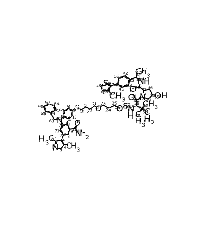 CC1=NCC(C)=C1c1cc(C(N)=O)c2c3cc(OCCCCOCCCOSN[C@H](C(=O)N4C[C@H](O)CC4C(=O)NC(C)c4ccc(-c5sccc5C)cc4)C(C)(C)C)ccc3n(Cc3ccccc3)c2c1